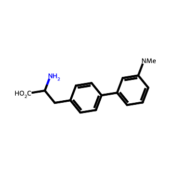 CNc1cccc(-c2ccc(CC(N)C(=O)O)cc2)c1